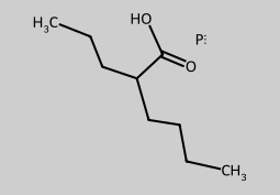 CCCCC(CCC)C(=O)O.[P]